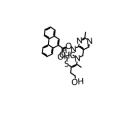 CC(=C(CCO)SCOC(=O)c1cc2ccccc2c2ccccc12)N(C=O)Cc1cnc(C)nc1N